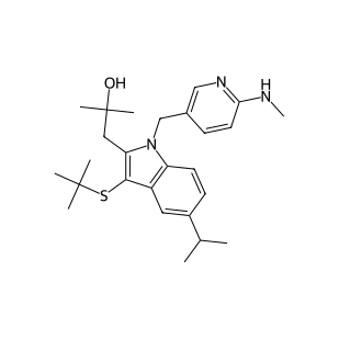 CNc1ccc(Cn2c(CC(C)(C)O)c(SC(C)(C)C)c3cc(C(C)C)ccc32)cn1